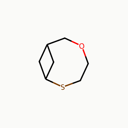 C1CSC2CC(CO1)C2